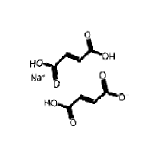 O=C(O)/C=C/C(=O)O.O=C([O-])/C=C/C(=O)O.[Na+]